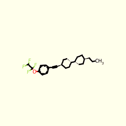 CCC[C@H]1CC[C@H]([C@H]2CC[C@H](C#Cc3ccc(OC(F)(F)C(F)F)cc3)CC2)CC1